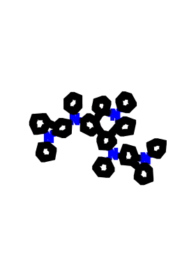 c1ccc(N(c2ccc3c4ccc(N(c5ccccc5)c5ccc6c(c5)c5ccccc5n6-c5ccccc5)cc4c4ccccc4n(-c4ccccc4)c4ccccc4c3c2)c2ccc3c(c2)c2ccccc2n3-c2ccccc2)cc1